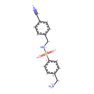 N#Cc1ccc(CNS(=O)(=O)c2ccc(CN)cc2)cc1